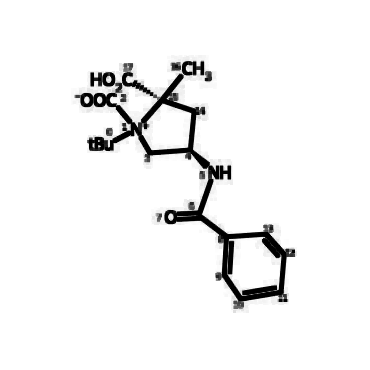 CC(C)(C)[N+]1(C(=O)[O-])C[C@H](NC(=O)c2ccccc2)C[C@@]1(C)C(=O)O